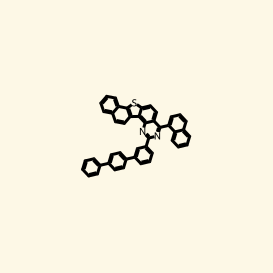 c1ccc(-c2ccc(-c3cccc(-c4nc(-c5cccc6ccccc56)c5ccc6sc7c8ccccc8ccc7c6c5n4)c3)cc2)cc1